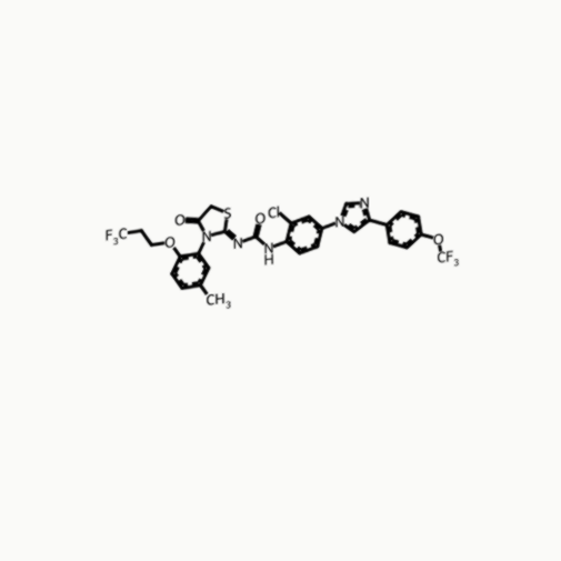 Cc1ccc(OCCC(F)(F)F)c(N2C(=O)CSC2=NC(=O)Nc2ccc(-n3cnc(-c4ccc(OC(F)(F)F)cc4)c3)cc2Cl)c1